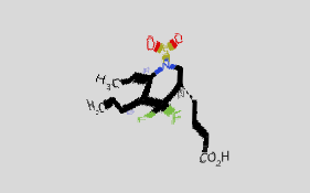 C=C/C=C1\C(=C/C)N([SH](=O)=O)C[C@H](CCCC(=O)O)C1(F)F